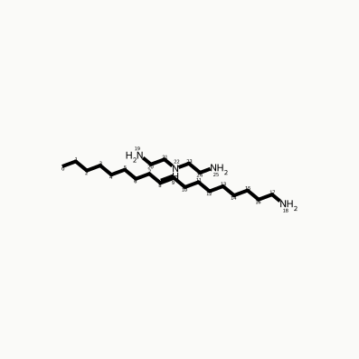 CCCCCCCCC=CCCCCCCCCN.NCCNCCN